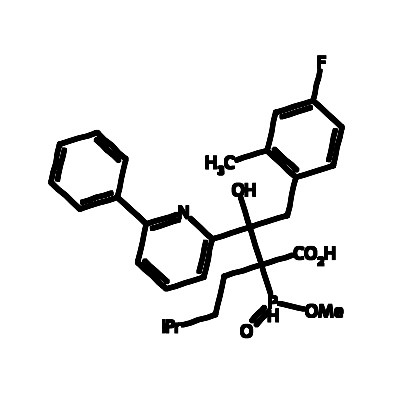 CO[PH](=O)C(CCC(C)C)(C(=O)O)C(O)(Cc1ccc(F)cc1C)c1cccc(-c2ccccc2)n1